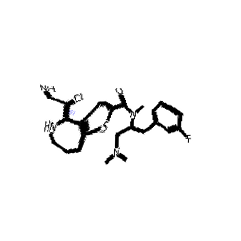 CN(C)CC(Cc1cccc(F)c1)N(C)C(=O)c1cc2c(s1)CCCN/C2=C(/Cl)C=N